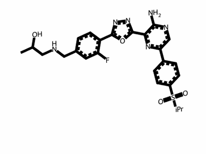 CC(O)CNCc1ccc(-c2nnc(-c3nc(-c4ccc(S(=O)(=O)C(C)C)cc4)cnc3N)o2)c(F)c1